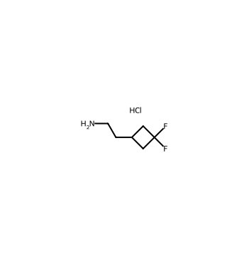 Cl.NCCC1CC(F)(F)C1